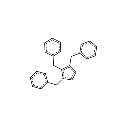 c1ccc(Cc2ccp(Cc3ccccc3)c2Cc2ccccc2)cc1